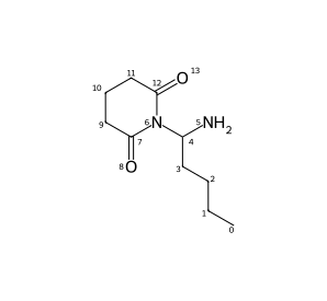 CCCCC(N)N1C(=O)CCCC1=O